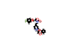 O=C1OC[C@@H](COc2ccc(F)cc2)N1CCC1CCN(C[C@H]2COc3ccccc3O2)CC1